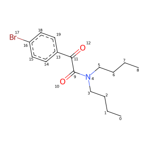 CCCCN(CCCC)C(=O)C(=O)c1ccc(Br)cc1